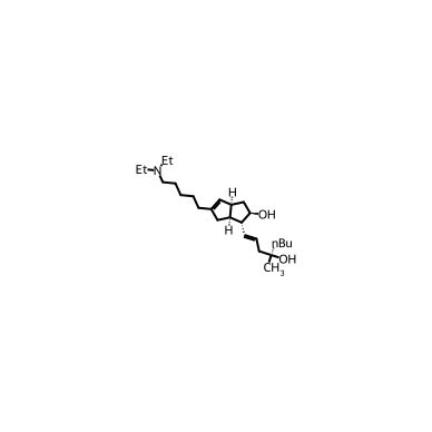 CCCC[C@@](C)(O)C/C=C/[C@@H]1[C@H]2CC(CCCCCN(CC)CC)=C[C@H]2C[C@H]1O